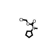 CN(C(=O)OCCl)C1CCCC1